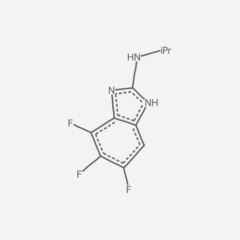 CC(C)Nc1nc2c(F)c(F)c(F)cc2[nH]1